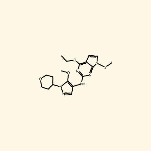 CCOc1nc(Nc2cnn(C3CCOCC3)c2OC)nc2c1ccn2SI